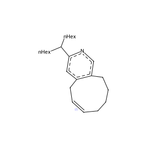 CCCCCCC(CCCCCC)c1cc2c(cn1)CCCC/C=C\C2